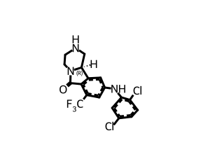 O=C1c2c(cc(Nc3cc(Cl)ccc3Cl)cc2C(F)(F)F)[C@@H]2CNCCN12